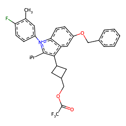 Cc1cc(-n2c(C(C)C)c(C3CC(COC(=O)C(F)(F)F)C3)c3cc(OCc4ccccc4)ccc32)ccc1F